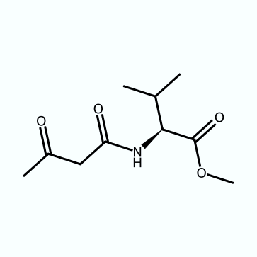 COC(=O)[C@@H](NC(=O)CC(C)=O)C(C)C